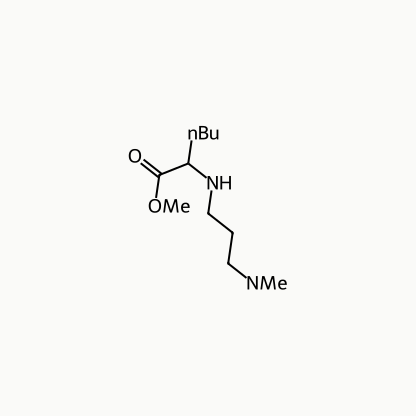 CCCCC(NCCCNC)C(=O)OC